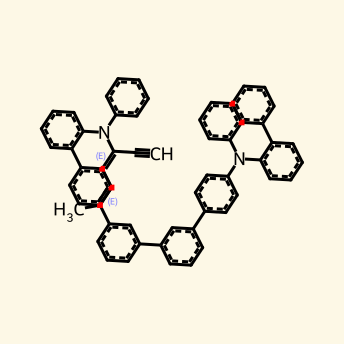 C#C/C(=C\C=C(/C)c1cccc(-c2cccc(-c3ccc(N(c4ccccc4)c4ccccc4-c4ccccc4)cc3)c2)c1)N(c1ccccc1)c1ccccc1-c1ccccc1